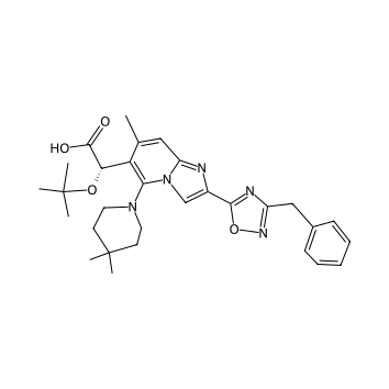 Cc1cc2nc(-c3nc(Cc4ccccc4)no3)cn2c(N2CCC(C)(C)CC2)c1[C@H](OC(C)(C)C)C(=O)O